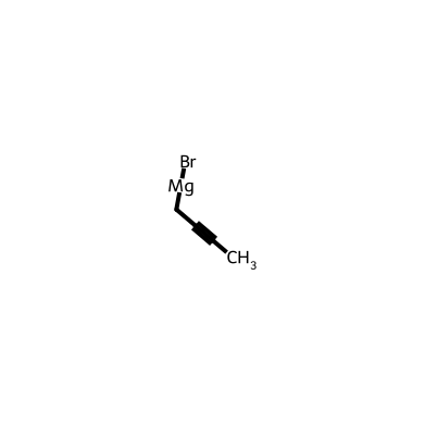 CC#C[CH2][Mg][Br]